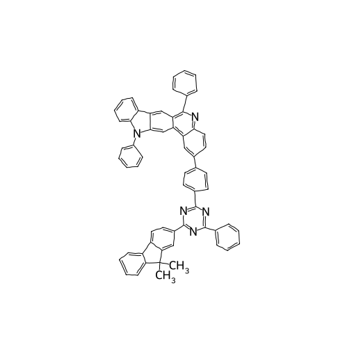 CC1(C)c2ccccc2-c2ccc(-c3nc(-c4ccccc4)nc(-c4ccc(-c5ccc6nc(-c7ccccc7)c7cc8c9ccccc9n(-c9ccccc9)c8cc7c6c5)cc4)n3)cc21